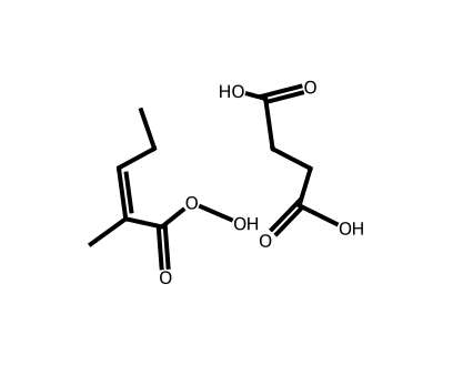 CCC=C(C)C(=O)OO.O=C(O)CCC(=O)O